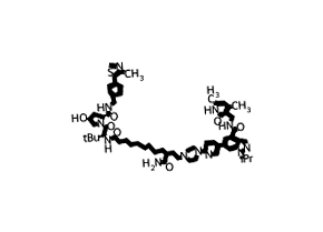 Cc1cc(C)c(CNC(=O)c2cc(-c3ccc(N4CCN(CCC(CCCCCCCCC(=O)N[C@H](C(=O)N5C[C@H](O)C[C@H]5C(=O)NCc5ccc(-c6scnc6C)cc5)C(C)(C)C)C(N)=O)CC4)nc3)cc3c2cnn3C(C)C)c(=O)[nH]1